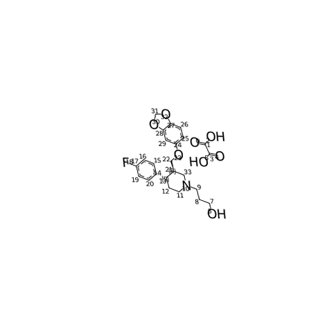 O=C(O)C(=O)O.OCCCN1CC[C@H](c2ccc(F)cc2)[C@@H](COc2ccc3c(c2)OCO3)C1